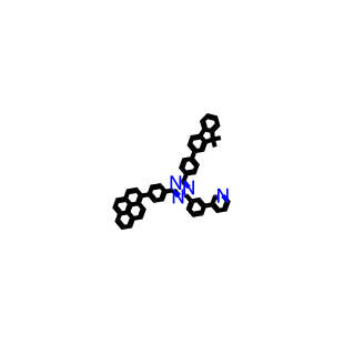 CC1(C)c2ccccc2-c2ccc(-c3ccc(-c4nc(-c5ccc(-c6ccc7ccc8cccc9ccc6c7c89)cc5)nc(-c5cccc(-c6cccnc6)c5)n4)cc3)cc21